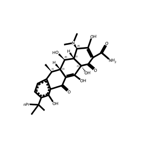 CCCC(C)(C)c1ccc2c(c1O)C(=O)C1=C(O)[C@]3(O)C(=O)C(C(N)=O)=C(O)[C@H](N(C)C)[C@H]3[C@H](O)[C@H]1[C@@H]2C